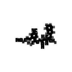 [C-]#[N+]c1ccc([C@@H](C)OC[C@H](O)CNC(C)(C)CC2Cc3ccccc3C2)c(CCC(=O)OCC)c1